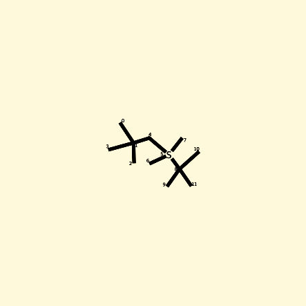 CC(C)(C)CS(C)(C)C(C)(C)C